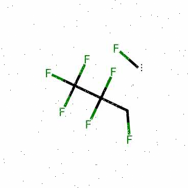 FCC(F)(F)C(F)(F)F.[C]F